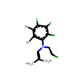 CCc1c(F)c(F)c(F)c(N(C=C(C(=O)O)C(=O)O)CCF)c1CC